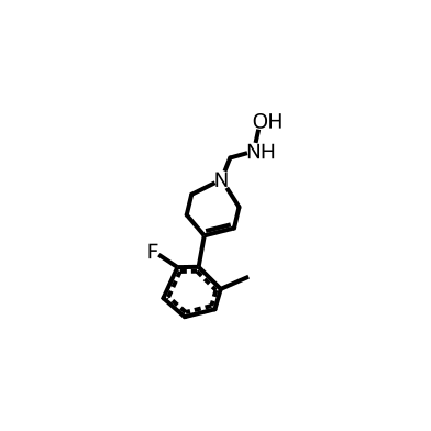 Cc1cccc(F)c1C1=CCN(CNO)CC1